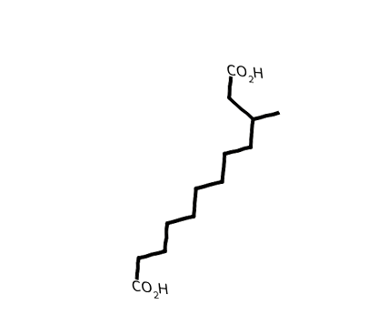 CC(CCCCCCCCC(=O)O)CC(=O)O